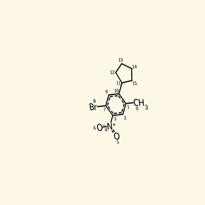 Cc1cc([N+](=O)[O-])c(Br)cc1C1CCCC1